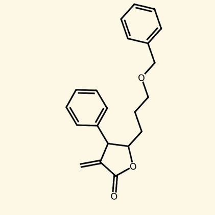 C=C1C(=O)OC(CCCOCc2ccccc2)C1c1ccccc1